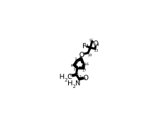 C=C(C(N)=O)c1ccc(OCC2(F)COC2)cc1